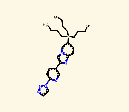 CCC[CH2][Sn]([CH2]CCC)([CH2]CCC)[c]1ccc2nc(-c3ccc(-n4ccnn4)nc3)cn2c1